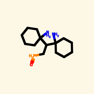 NC1(C(C[PH2]=O)C2(N)CCCCC2)CCCCC1